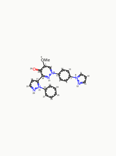 COc1cn(-c2ccc(-n3cccn3)cc2)nc(-c2ccnn2-c2ccccc2)c1=O